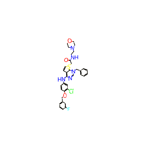 O=C(CS1=C2C(=C(Nc3ccc(OCc4cccc(F)c4)c(Cl)c3)N=CN2Cc2ccccc2)C=C1)NCCN1CCOCC1